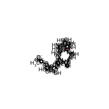 Cc1cc(C2OCC3OC(OC4C(CO)OC(Oc5ccc(CC6NC(=O)C(C(C)c7ccccc7)NC(=O)CNC(=O)C(CO)NC(=O)C(C(O)C7CNC(=N)N7C7OC(CO)C(O)C(O)C7O)NC(=O)C(C(O)C7CNC(=N)N7)NC6=O)cc5)C(O)C4O)C(O)C(O)C3O2)ccc1[N+](=O)[O-]